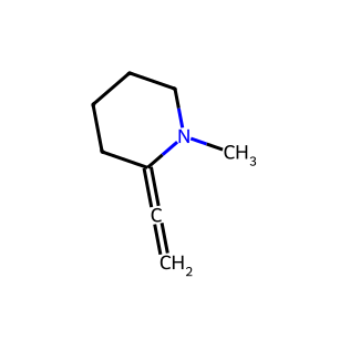 C=C=C1CCCCN1C